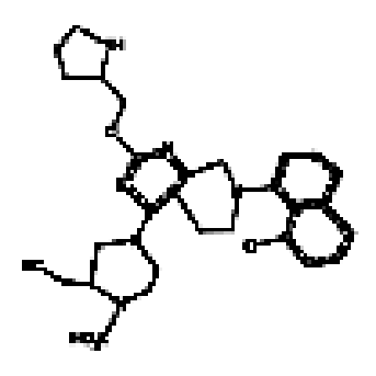 N#CCC1CN(c2nc(OCC3CCCN3)nc3c2CCN(c2cccc4cccc(Cl)c24)C3)CCN1C(=O)O